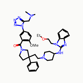 CCOCCn1c(NC2CCN(CCC3(c4ccccc4)CCN(C(=O)c4cc(-n5nnnc5CN(C)C)ccc4OC)C3)CC2)nc2ccccc21